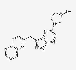 O[C@@H]1CCN(c2cnc3nnn(Cc4ccc5ncccc5c4)c3n2)C1